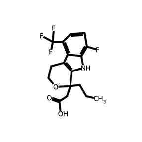 CCCC1(CC(=O)O)OCCc2c1[nH]c1c(F)ccc(C(F)(F)F)c21